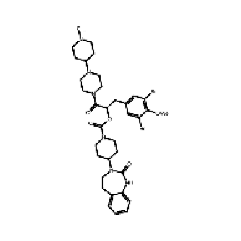 COc1c(Br)cc(C[C@@H](OC(=O)N2CCC(N3CCc4ccccc4NC3=O)CC2)C(=O)N2CCN(C3CCN(C)CC3)CC2)cc1Br